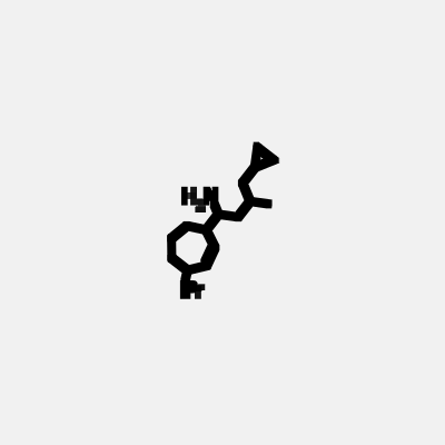 CC(CC1CC1)CC(N)C1C=CC(C(C)C)CCC1